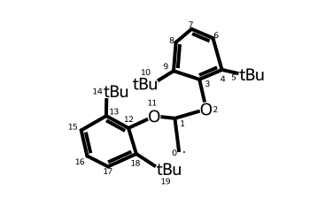 [CH2]C(Oc1c(C(C)(C)C)cccc1C(C)(C)C)Oc1c(C(C)(C)C)cccc1C(C)(C)C